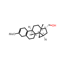 COC1=CCC2=C(CC[C@@H]3[C@@H]2CC[C@]2(C)[C@H](CO)C[C@H]4C[C@@]432)C1